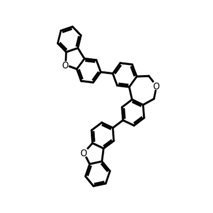 c1ccc2c(c1)oc1ccc(-c3ccc4c(c3)-c3cc(-c5ccc6oc7ccccc7c6c5)ccc3COC4)cc12